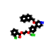 Cl.O=C(OCCOc1ccc(C2CCNCC2OCc2ccc3ccccc3c2)cc1)c1ccccc1Cl